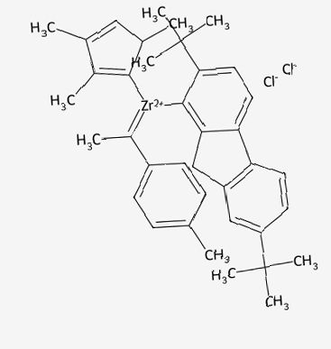 CC1=CC(C)[C](/[Zr+2](=[C](\C)c2ccc(C)cc2)[c]2c(C(C)(C)C)ccc3c2Cc2cc(C(C)(C)C)ccc2-3)=C1C.[Cl-].[Cl-]